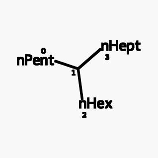 [CH2]CCCCC(CCCCCC)CCCCCCC